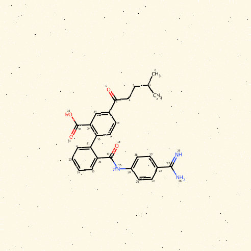 CC(C)CCC(=O)c1ccc(-c2ccccc2C(=O)Nc2ccc(C(=N)N)cc2)c(C(=O)O)c1